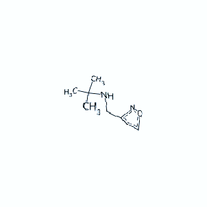 CC(C)(C)NCc1ccon1